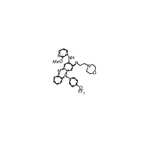 COc1ncccc1Nc1cc2nc3ccccc3n(-c3ccc(OC(F)(F)F)cc3)c-2c/c1=N\CCN1CCOCC1